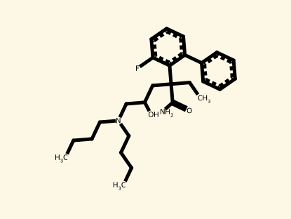 CCCCN(CCCC)CC(O)CC(CC)(C(N)=O)c1c(F)cccc1-c1ccccc1